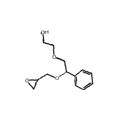 OCCOCC(OCC1CO1)c1ccccc1